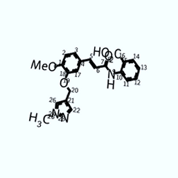 COc1ccc(/C=C/C(=O)Nc2ccccc2C(=O)O)cc1OCc1cnn(C)c1